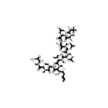 C/C=C/C[C@@H](C)[C@H](O)C(C(=O)N[C@H](CC)C(=O)N(C)CC(=O)N(C)[C@@H](C)C(N)=O)N(C)C(=O)[C@H](C(C)C)N(C)C(=O)[C@@H](CC(C)C)N(C)C(=O)[C@@H](CC(C)C)N(C)C(=O)[C@H](C)NC(=O)[C@@H](CC(C)C)NC(=O)[C@H](C)N(C)C(=O)[C@H](C)C(C)(C)C